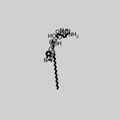 CCCCCCCCCCCCCCCCCCOC[C@H](COP(=O)(O)OC[C@H]1O[C@@](C#N)(c2ccc3c(N)ncnn23)[C@H](O)[C@@H]1O)Oc1ccc(C#N)c(OC(C)C)c1